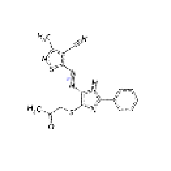 CC(=O)CSc1nc(-c2ccccc2)[nH]c1/N=N/c1snc(C)c1C#N